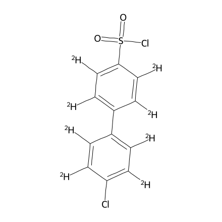 [2H]c1c([2H])c(-c2c([2H])c([2H])c(S(=O)(=O)Cl)c([2H])c2[2H])c([2H])c([2H])c1Cl